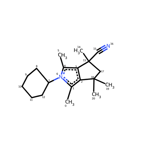 Cc1c2c(c(C)n1C1CCCCC1)C(C)(C#N)CC2(C)C